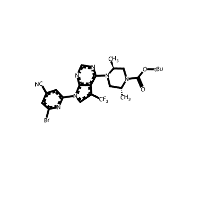 C[C@@H]1CN(c2ncnc3c2c(C(F)(F)F)cn3-c2cc(C#N)cc(Br)n2)[C@@H](C)CN1C(=O)OC(C)(C)C